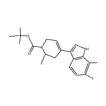 Cc1c(F)ccc2c(C3=CCN(C(=O)OC(C)(C)C)C(C)C3)c[nH]c12